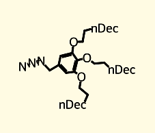 CCCCCCCCCCCCOc1cc(CN=[N+]=[N-])cc(OCCCCCCCCCCCC)c1OCCCCCCCCCCCC